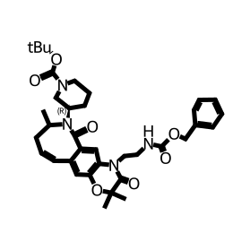 CC1CC=Cc2cc3c(cc2C(=O)N1[C@@H]1CCCN(C(=O)OC(C)(C)C)C1)N(CCNC(=O)OCc1ccccc1)C(=O)C(C)(C)O3